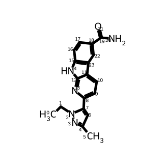 CCn1nc(C)cc1-c1ccc2c(n1)[nH]c1ccc(C(N)=O)cc12